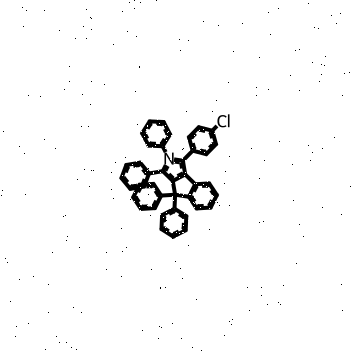 Clc1ccc(-c2c3c(c(-c4ccccc4)n2-c2ccccc2)C(c2ccccc2)(c2ccccc2)c2ccccc2-3)cc1